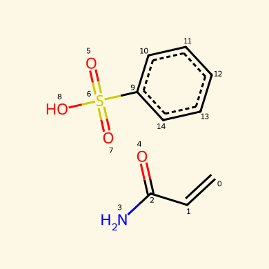 C=CC(N)=O.O=S(=O)(O)c1ccccc1